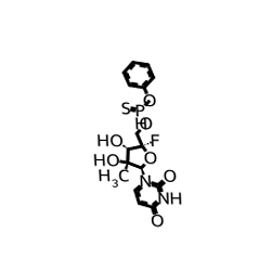 C[C@]1(O)[C@H](n2ccc(=O)[nH]c2=O)O[C@](F)(CO[PH](=S)Oc2ccccc2)[C@H]1O